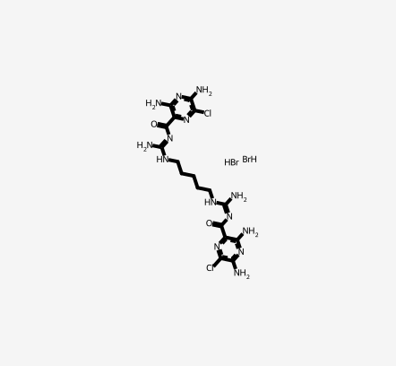 Br.Br.NC(=NC(=O)c1nc(Cl)c(N)nc1N)NCCCCCNC(N)=NC(=O)c1nc(Cl)c(N)nc1N